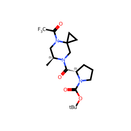 C[C@H]1CN(C(=O)C(F)(F)F)C2(CC2)CN1C(=O)[C@@H]1CCCN1C(=O)OC(C)(C)C